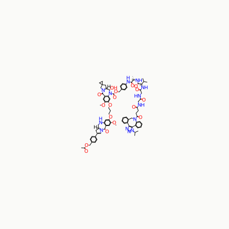 COc1cc2c(cc1OCCCOc1cc3c(cc1OC)C(=O)N1CC4(CC4)C[C@H]1C(O)N3C(=O)OCc1ccc(NC(=O)[C@H](C)NC(=O)[C@@H](NC(=O)CNC(=O)CNC(=O)CCC(=O)N3Cc4ccccc4-c4nnn(C(C)C)c4-c4ccccc43)C(C)C)cc1)NC[C@@H]1CC(c3ccc(COC(C)=O)cc3)=CN1C2=O